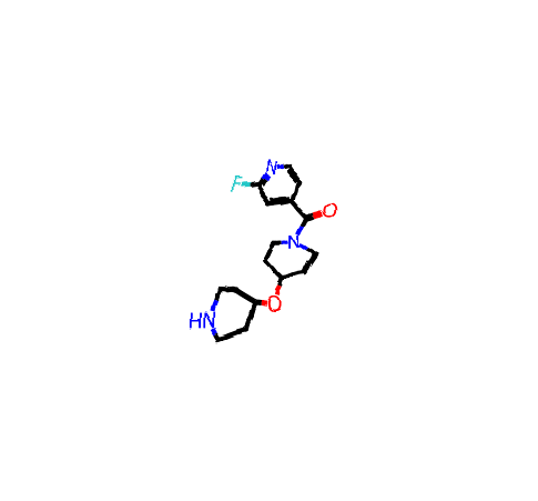 O=C(c1ccnc(F)c1)N1CCC(OC2CCNCC2)CC1